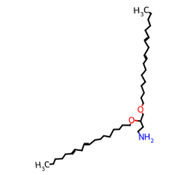 CCCCCC=CCC=CCCCCCCCCOCC(CCN)OCCCCCCCCC=CCC=CCCCCC